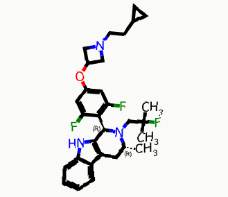 C[C@@H]1Cc2c([nH]c3ccccc23)[C@@H](c2c(F)cc(OC3CN(CCC4CC4)C3)cc2F)N1CC(C)(C)F